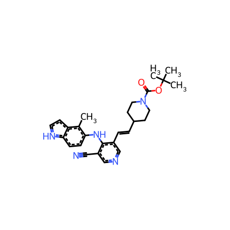 Cc1c(Nc2c(C#N)cncc2C=CC2CCN(C(=O)OC(C)(C)C)CC2)ccc2[nH]ccc12